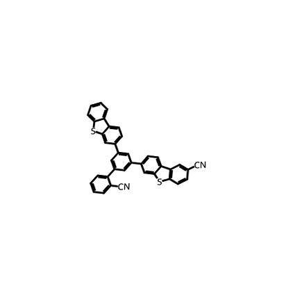 N#Cc1ccc2sc3cc(-c4cc(-c5ccc6c(c5)sc5ccccc56)cc(-c5ccccc5C#N)c4)ccc3c2c1